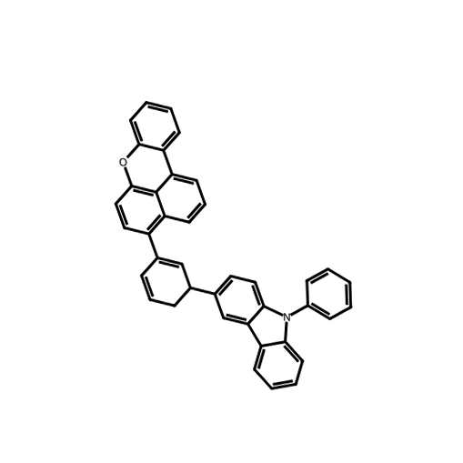 C1=CC(c2ccc3c4c(cccc24)-c2ccccc2O3)=CC(c2ccc3c(c2)c2ccccc2n3-c2ccccc2)C1